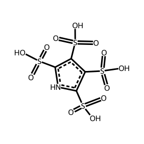 O=S(=O)(O)c1[nH]c(S(=O)(=O)O)c(S(=O)(=O)O)c1S(=O)(=O)O